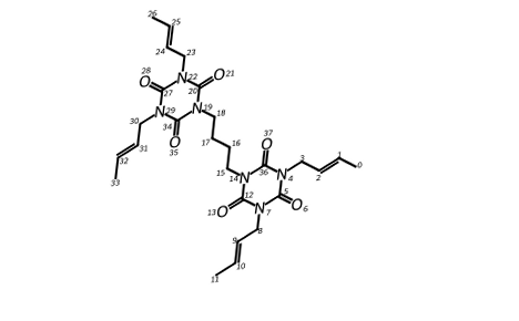 C/C=C/Cn1c(=O)n(C/C=C/C)c(=O)n(CCCCn2c(=O)n(C/C=C/C)c(=O)n(C/C=C/C)c2=O)c1=O